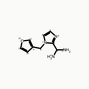 NC(N)c1nccn1Cc1ccoc1